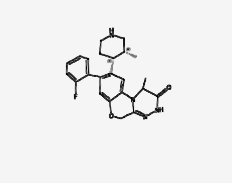 CC1C(=O)NN=C2COc3cc(-c4ccccc4F)c([C@@H]4CCNC[C@@H]4C)cc3N21